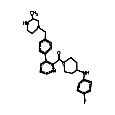 C[C@H]1CN(Cc2ccc(-c3cccnc3C(=O)N3CCC(Nc4ccc(F)cc4)CC3)cc2)CCN1